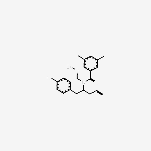 C=CCC(Cc1ccc(Cl)cc1)N(COCC)C(=O)c1cc(C)cc(C)c1